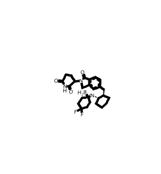 BC1(N[C@H]2CCCC[C@@H]2Cc2ccc3c(c2)CN(C2CCC(=O)NC2=O)C3=O)CCC(F)(F)CC1